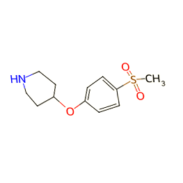 CS(=O)(=O)c1ccc(OC2CCNCC2)cc1